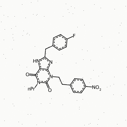 CCCn1c(=O)c2[nH]c(Cc3ccc(F)cc3)nc2n(CCc2ccc([N+](=O)[O-])cc2)c1=O